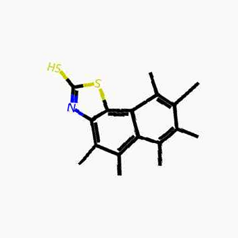 Cc1c(C)c(C)c2c(c1C)c(C)c(C)c1nc(S)sc12